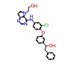 OCCn1ccc2ncnc(Nc3ccc(Oc4cccc(C(O)Cc5ccccc5)c4)c(Cl)c3)c21